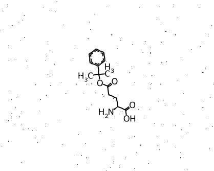 CC(C)(OC(=O)CC[C@H](N)C(=O)O)c1ccccc1